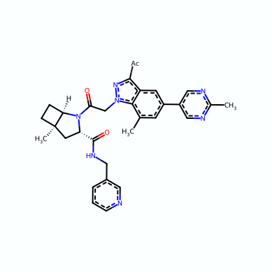 CC(=O)c1nn(CC(=O)N2[C@H](C(=O)NCc3cccnc3)C[C@@]3(C)CC[C@@H]23)c2c(C)cc(-c3cnc(C)nc3)cc12